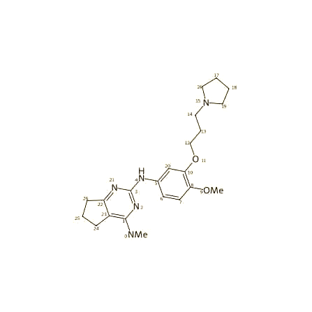 CNc1nc(Nc2ccc(OC)c(OCCCN3CCCC3)c2)nc2c1CCC2